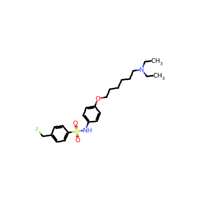 CCN(CC)CCCCCCOc1ccc(NS(=O)(=O)c2ccc(CF)cc2)cc1